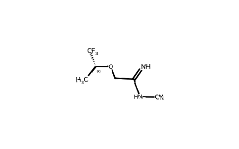 C[C@@H](OCC(=N)NC#N)C(F)(F)F